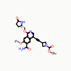 CC(C)Oc1cc2c(OC[C@@H]3CCC(=O)N3)ncc(C#CC3CN(C(=O)OC(C)(C)C)C3)c2cc1C(N)=O